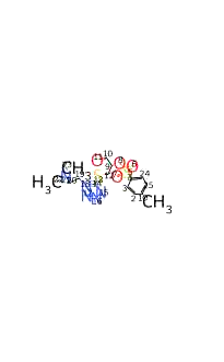 Cc1ccc(S(=O)(=O)OC(C=O)CSc2nnnn2CCN(C)C)cc1